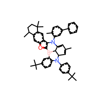 CC1=CC2C3B(c4cc(C(C)(C)C)ccc4N2c2ccc(C(C)(C)C)cc2)c2oc4cc5c(cc4c2N(c2cc(-c4ccccc4)ccc2C)C3=C1)C(C)(C)CCC5C